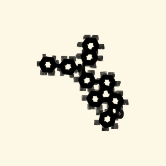 c1ccc(-c2ccc(N(c3cccc(-c4cccc5c6ccc7oc8ccccc8c7c6c6ccccc6c45)c3)c3ccc4ccccc4c3)cc2)cc1